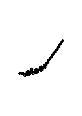 CCCCCCCCCCCCCCCCCCCCOC(C)c1ccc(-c2ccc(OC(=O)c3ccc(OCCCC)cc3)cc2)cc1